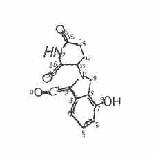 O=C=C1c2cccc(O)c2CN1C1CCC(=O)NC1=O